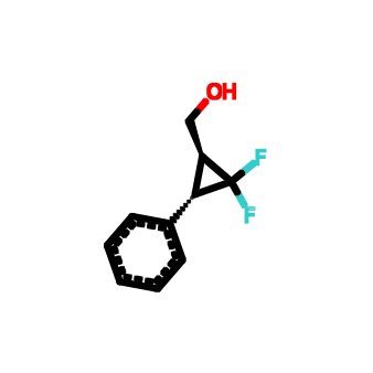 OC[C@@H]1[C@@H](c2ccccc2)C1(F)F